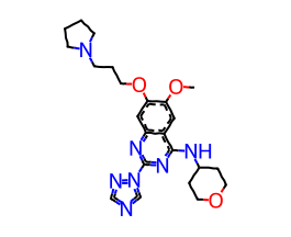 COc1cc2c(NC3CCOCC3)nc(-n3cncn3)nc2cc1OCCCN1CCCC1